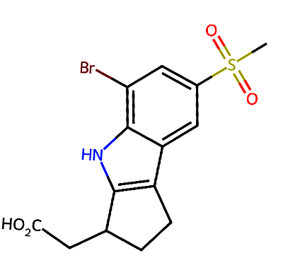 CS(=O)(=O)c1cc(Br)c2[nH]c3c(c2c1)CCC3CC(=O)O